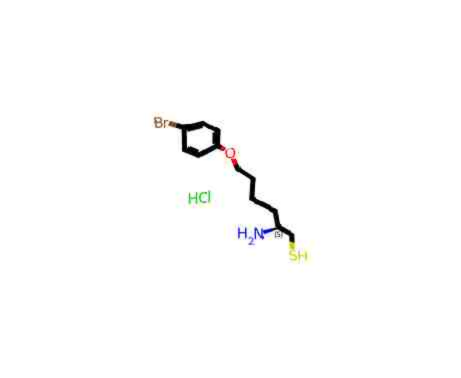 Cl.N[C@H](CS)CCCCOc1ccc(Br)cc1